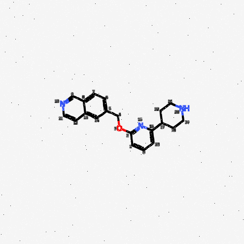 c1cc(OCc2ccc3cnccc3c2)nc(C2CCNCC2)c1